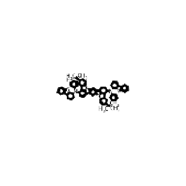 CC(C)(C)c1ccc2c(c1)c1c(N(c3ccccc3)c3cccc4c3sc3ccccc34)ccc3c4cc5c(cc4n2c31)c1ccc(N(c2ccccc2)c2cccc3c2sc2ccccc23)c2c3cc(C(C)(C)C)ccc3n5c12